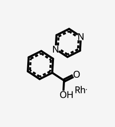 O=C(O)c1ccccc1.[Rh].c1cnccn1